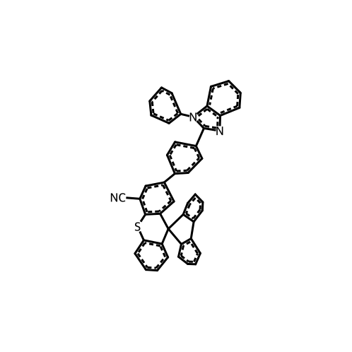 N#Cc1cc(-c2ccc(-c3nc4ccccc4n3-c3ccccc3)cc2)cc2c1Sc1ccccc1C21c2ccccc2-c2ccccc21